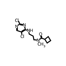 CN(CCCNc1nc(Cl)ncc1Cl)C(=O)C1CCC1